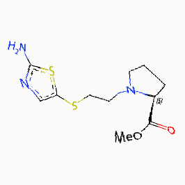 COC(=O)[C@@H]1CCCN1CCSc1cnc(N)s1